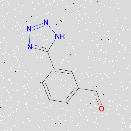 O=Cc1cc[c]c(-c2nnn[nH]2)c1